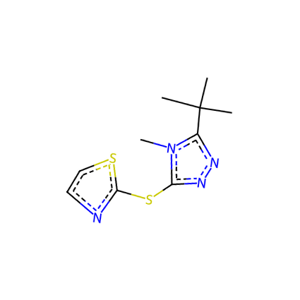 Cn1c(Sc2nccs2)nnc1C(C)(C)C